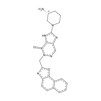 N[C@@H]1CCCN(c2nc3cnn(Cc4nc5ccc6ccccc6c5o4)c(=O)c3[nH]2)C1